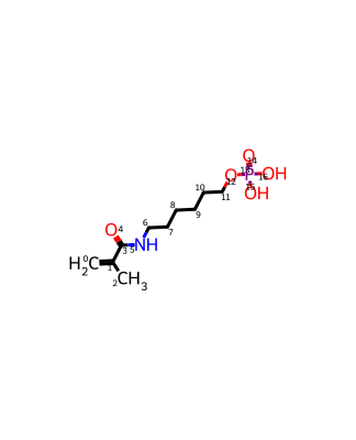 C=C(C)C(=O)NCCCCCCOP(=O)(O)O